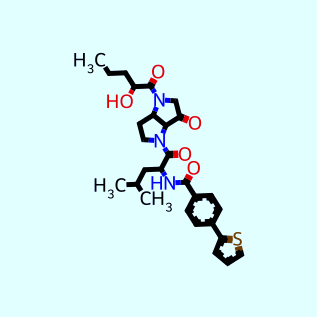 CCCC(O)C(=O)N1CC(=O)C2C1CCN2C(=O)C(CC(C)C)NC(=O)c1ccc(-c2cccs2)cc1